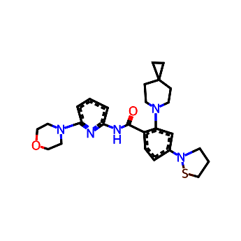 O=C(Nc1cccc(N2CCOCC2)n1)c1ccc(N2CCCS2)cc1N1CCC2(CC1)CC2